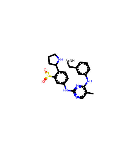 CC(=O)NCc1cccc(Nc2nc(Nc3ccc(C4CCCN4)c([SH](=O)=O)c3)ncc2C)c1